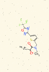 CCN(Cc1ccc(-c2noc(C(F)(F)F)n2)s1)C(=O)C(C)=O